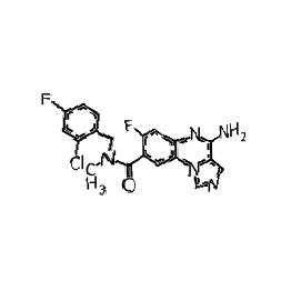 CN(Cc1ccc(F)cc1Cl)C(=O)c1cc2c(cc1F)nc(N)c1cncn12